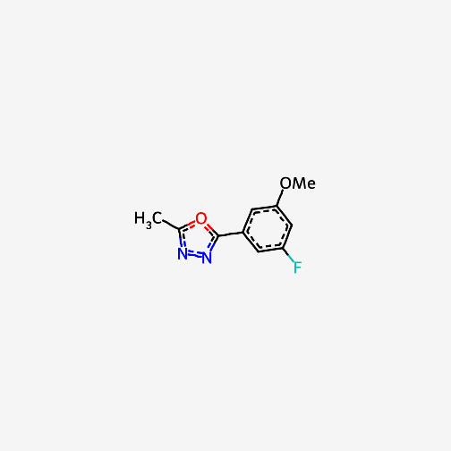 COc1cc(F)cc(-c2nnc(C)o2)c1